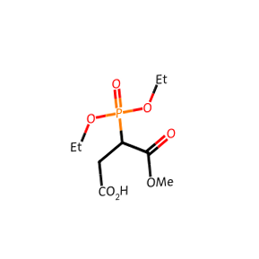 CCOP(=O)(OCC)C(CC(=O)O)C(=O)OC